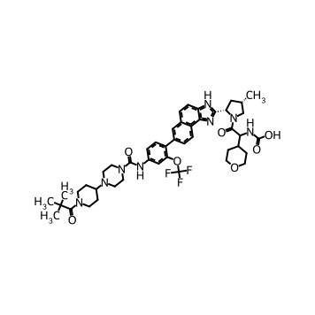 C[C@H]1C[C@@H](c2nc3c(ccc4cc(-c5ccc(NC(=O)N6CCN(C7CCN(C(=O)C(C)(C)C)CC7)CC6)cc5OC(F)(F)F)ccc43)[nH]2)N(C(=O)C(NC(=O)O)C2CCOCC2)C1